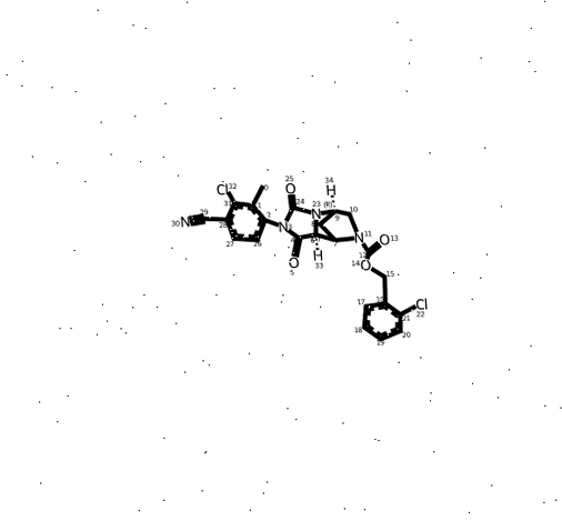 Cc1c(N2C(=O)[C@@H]3C4C[C@H](CN4C(=O)OCc4ccccc4Cl)N3C2=O)ccc(C#N)c1Cl